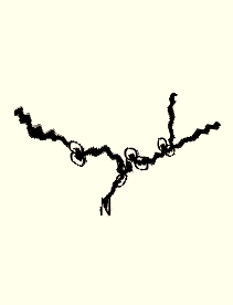 CCCCCCCCCCCOC(=O)CCCCCN1CC(OCCCN(C)C)C[C@H]1C(=O)OCCCCC(=O)OC(CCCCCCCC)CCCCCCCC